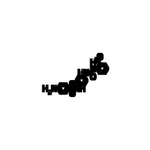 Nc1ccc(S(=O)(=O)Nc2ccc(NC(=O)Nc3ccccc3N=O)cc2)cc1